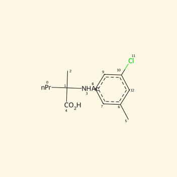 CCCC(C)(NC(C)=O)C(=O)O.Cc1cccc(Cl)c1